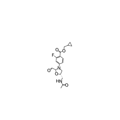 CC(=O)NC[C@H]1CN(c2ccc(C(=O)OCC3CC3)c(F)c2)C(C=O)O1